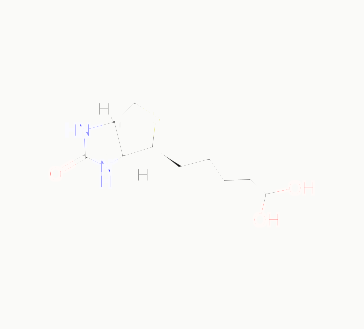 O=C1N[C@H]2[C@H](CS[C@H]2CCCCC(O)O)N1